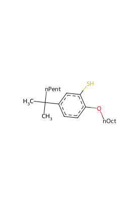 CCCCCCCCOc1ccc(C(C)(C)CCCCC)cc1S